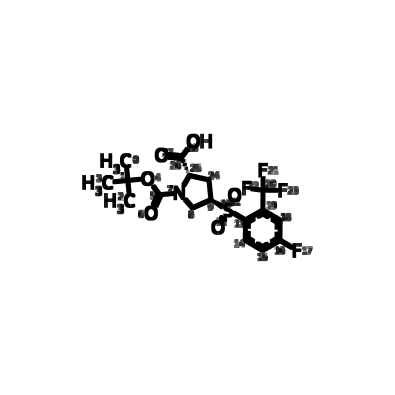 CC(C)(C)OC(=O)N1C[C@H](S(=O)(=O)c2ccc(F)cc2C(F)(F)F)C[C@H]1C(=O)O